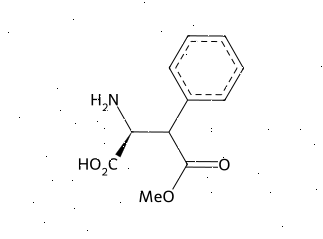 COC(=O)C(c1ccccc1)[C@H](N)C(=O)O